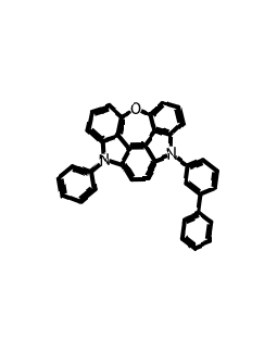 c1ccc(-c2cccc(-n3c4cccc5oc6cccc7c6c6c(c54)c3ccc6n7-c3ccccc3)c2)cc1